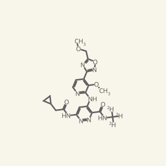 [2H]C([2H])([2H])NC(=O)c1nnc(NC(=O)CC2CC2)cc1Nc1nccc(-c2noc(COC)n2)c1OC